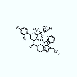 CC(C)(NC(=O)O)C(=O)NC(CCc1ccc(F)cc1Br)C(=O)N1CCC2=NN(CC(F)(F)F)C(=O)[C@]2(Cc2ccccn2)C1